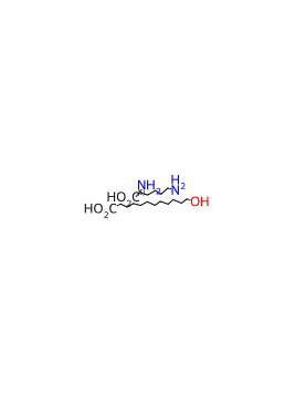 NCCCC[C@H](N)C(=O)O.O=C(O)CCCCCCCCCCCO